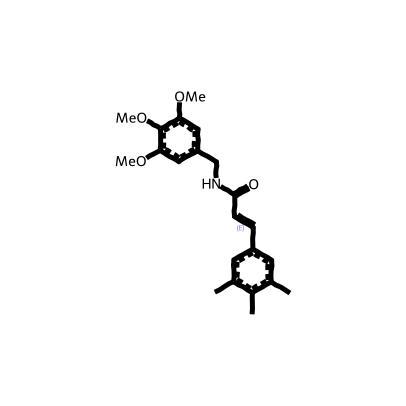 COc1cc(CNC(=O)/C=C/c2cc(C)c(C)c(C)c2)cc(OC)c1OC